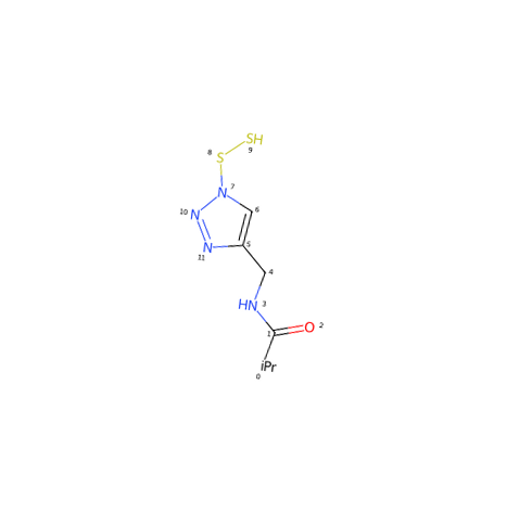 CC(C)C(=O)NCc1cn(SS)nn1